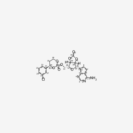 Nc1ncnc2c1ccn2[C@@H]1O[C@H](COP2(=O)OCC[C@H](c3cccc(Cl)c3)O2)[C@H]2OC(=O)O[C@H]21